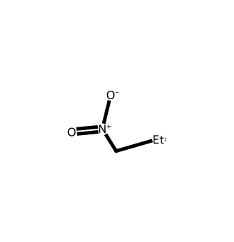 C[C]C[N+](=O)[O-]